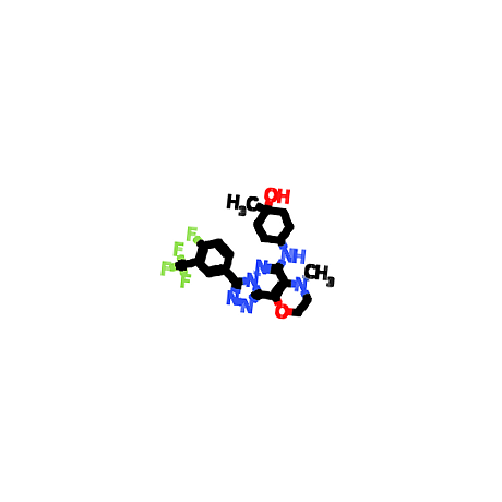 CN1CCOc2c1c(NC1CCC(C)(O)CC1)nn1c(-c3ccc(F)c(C(F)(F)F)c3)nnc21